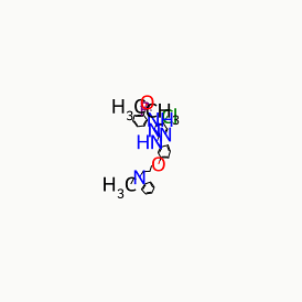 CCN(CCCOc1cccc(Nc2ncc(Cl)c(Nc3ccccc3P(C)(C)=O)n2)c1)c1ccccc1